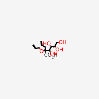 C=CCO[C@@](CC=C)(C(=O)O)[C@@H](O)[C@H](O)[C@H](O)CO